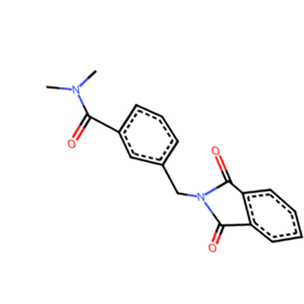 CN(C)C(=O)c1cccc(CN2C(=O)c3ccccc3C2=O)c1